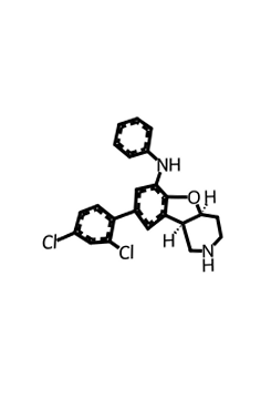 Clc1ccc(-c2cc(Nc3ccccc3)c3c(c2)[C@@H]2CNCC[C@@H]2O3)c(Cl)c1